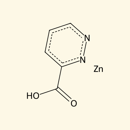 O=C(O)c1cccnn1.[Zn]